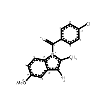 [2H]c1c(C)n(C(=O)c2ccc(Cl)cc2)c2ccc(OC)cc12